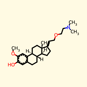 COc1cc2c(cc1O)CC[C@@H]1[C@@H]2CC[C@]2(C)/C(=C/COCCN(C)C)CC[C@@H]12